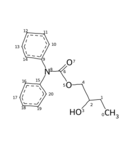 CCC(O)COC(=O)N(c1ccccc1)c1ccccc1